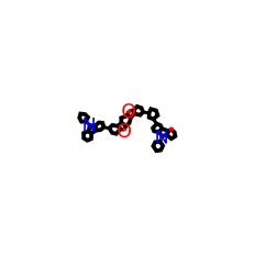 c1ccc(-n2c3ccccc3c3cc(-c4cccc(-c5ccc6oc7cc8c(cc7c6c5)oc5ccc(-c6ccc7c(c6)c6ccccc6n7-c6ccccc6)cc58)c4)ccc32)cc1